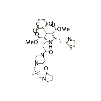 COC(=O)C1=C(CCc2nccs2)NC(CC(=O)N2CCN(CC(C)(C)CN3CCCC3=O)CC2)=C(C(=O)OC)C1c1c(Cl)cccc1Cl